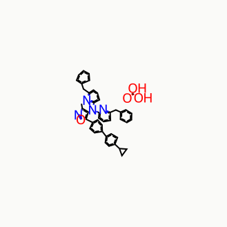 Cc1noc(-c2ccc(-c3ccc(C4CC4)cc3)cc2)c1N(c1cccc(Cc2ccccc2)n1)c1cccc(Cc2ccccc2)n1.O=C(O)O